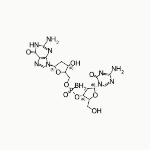 BP(=O)(OCC1O[C@@H](n2cnc3c(=O)[nH]c(N)nc32)C[C@H]1O)O[C@@H]1C[C@H](n2cnc(N)nc2=O)OC1CO